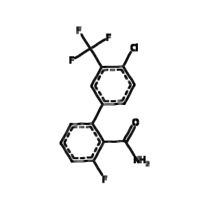 NC(=O)c1c(F)cccc1-c1ccc(Cl)c(C(F)(F)F)c1